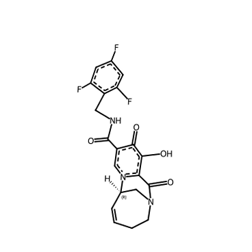 O=C(NCc1c(F)cc(F)cc1F)c1cn2c(c(O)c1=O)C(=O)N1CCC=C[C@@H]2C1